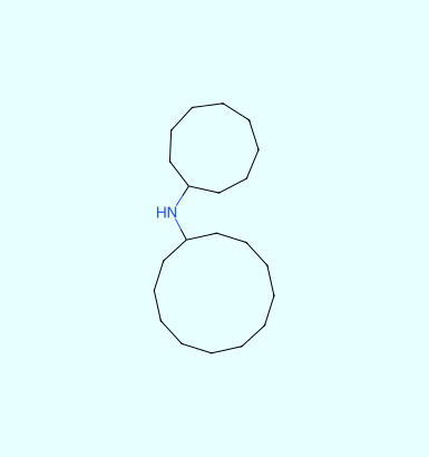 C1CCCCCC(NC2CCCCCCCC2)CCCCC1